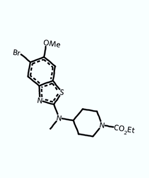 CCOC(=O)N1CCC(N(C)c2nc3cc(Br)c(OC)cc3s2)CC1